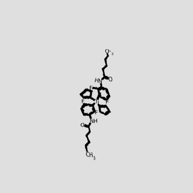 CCCCCC(=O)Nc1ccc(F)[c]([Ti]([C]2=CC=CC2)([C]2=CC=CC2)[c]2c(F)ccc(NC(=O)CCCCC)c2F)c1F